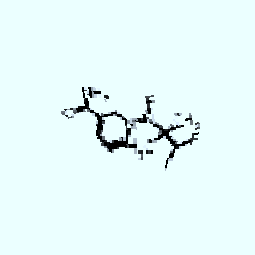 CC(C)(C(F)F)N(F)N1C=CC=C(C(N)=O)C1